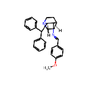 COc1ccc(/C=N/[C@@H]2C3CCN(CC3)[C@H]2C(c2ccccc2)c2ccccc2)cc1